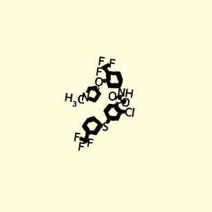 CN1CC[C@@H](Oc2cc(NS(=O)(=O)c3ccc(Sc4cccc(C(F)(F)F)c4)cc3Cl)ccc2C(F)(F)F)C1